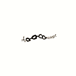 CCCCCCCC1CCC2CC(c3ccc(-c4ccc(OC(F)F)cc4)cc3)CCC2C1